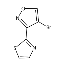 Brc1conc1-c1nccs1